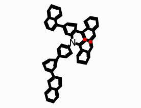 c1cc(-c2ccc(N(c3cc(-c4cccc5ccccc45)ccc3-c3cccc4ccccc34)c3cccc4ccccc34)cc2)cc(-c2ccc3ccccc3c2)c1